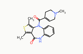 Cc1sc(C)c2c1C(=O)Nc1ccccc1N2C(=O)C1=CCN(C)CC1